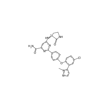 Cn1nccc1-c1cc(Cl)ccc1Oc1ccc(-c2nc(N[C@H]3CCNC3=O)cc(C(N)=O)n2)cc1